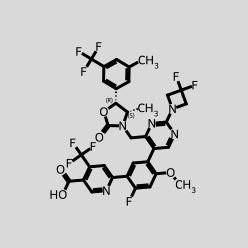 COc1cc(F)c(-c2cc(C(F)(F)F)c(C(=O)O)cn2)cc1-c1cnc(N2CC(F)(F)C2)nc1CN1C(=O)O[C@H](c2cc(C)cc(C(F)(F)F)c2)[C@@H]1C